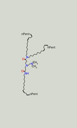 CCCCC/C=C\C/C=C\CCCCCCCCNC(=O)CCN(CCC(=O)N(CCCCCCCC/C=C\C/C=C\CCCCC)CCCCCCCC/C=C\C/C=C\CCCCC)CCN(C)C